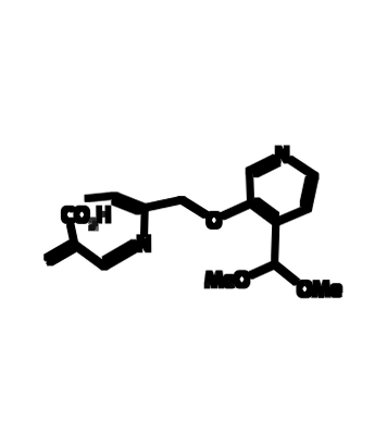 C=C(/C=N\C(=C/C)COc1cnccc1C(OC)OC)C(=O)O